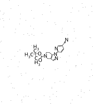 CC(C)(C)OC(=O)N1CCc2c(cnn2-c2ccc(C#N)cn2)C1